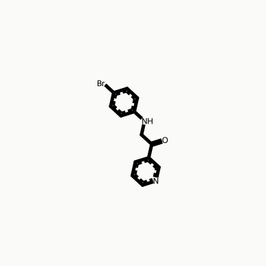 O=C(CNc1ccc(Br)cc1)c1cccnc1